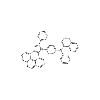 c1ccc(-c2cc3c4cccc5ccc6cccc(c6c54)c3n2-c2ccc(N(c3ccccc3)c3cccc4ccccc34)cc2)cc1